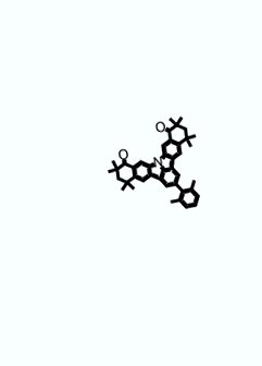 Cc1cccc(C)c1-c1cc2c3cc4c(cc3n3c5cc6c(cc5c(c1)c23)C(C)(C)CC(C)(C)C6=O)C(=O)C(C)(C)CC4(C)C